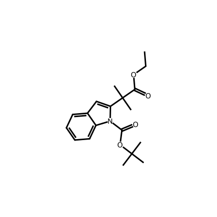 CCOC(=O)C(C)(C)c1cc2ccccc2n1C(=O)OC(C)(C)C